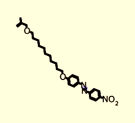 C=C(C)COCCCCCCCCCCCOc1ccc(/N=N/c2ccc([N+](=O)[O-])cc2)cc1